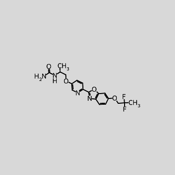 C[C@@H](COc1ccc(-c2nc3ccc(OCC(C)(F)F)cc3o2)nc1)NC(N)=O